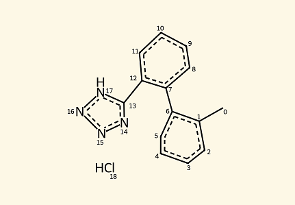 Cc1ccccc1-c1ccccc1-c1nnn[nH]1.Cl